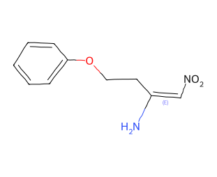 N/C(=C/[N+](=O)[O-])CCOc1ccccc1